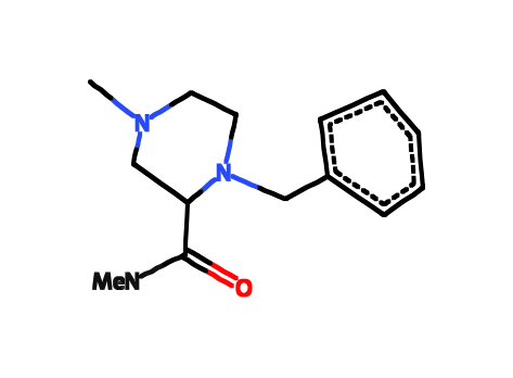 CNC(=O)C1CN(C)CCN1Cc1ccccc1